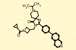 CC(C)N1CCC2(CC1)N=C(c1ccc(-c3ccc4cnccc4c3)cc1)N(CC1CN(C(=O)C3CC3)C1)C2=O